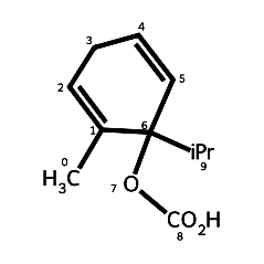 CC1=CCC=CC1(OC(=O)O)C(C)C